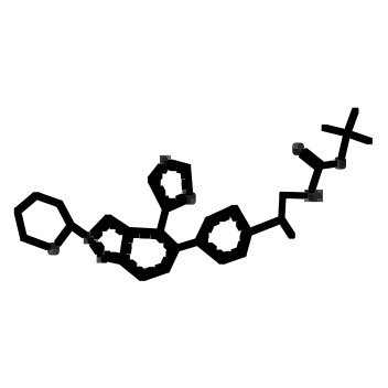 CC(CNC(=O)OC(C)(C)C)c1ccc(-c2ccc3nn(C4CCCCO4)cc3c2-c2cnco2)cc1